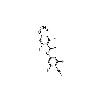 COc1cc(F)c(C(=O)Oc2cc(F)c(C#N)c(F)c2)c(F)c1